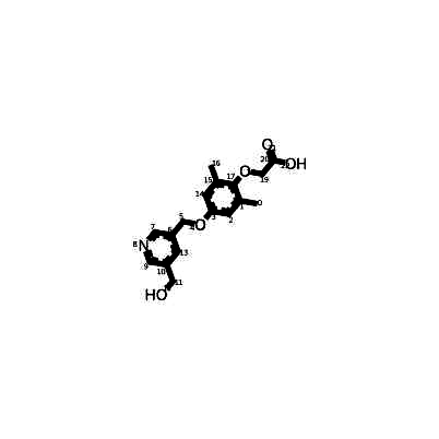 Cc1cc(OCc2cncc(CO)c2)cc(C)c1OCC(=O)O